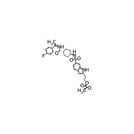 C[C@@H](NC(=O)[C@H]1CC[C@H](NS(=O)(=O)c2ccc3cc(CCOS(C)(=O)=O)[nH]c3c2)CC1)c1ccc(F)cc1